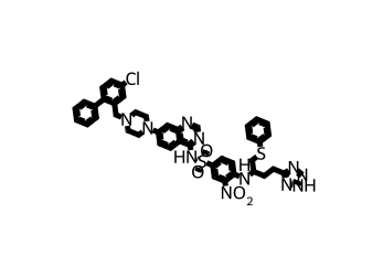 O=[N+]([O-])c1cc(S(=O)(=O)Nc2ncnc3cc(N4CCN(Cc5cc(Cl)ccc5-c5ccccc5)CC4)ccc23)ccc1NC(CCc1nn[nH]n1)CSc1ccccc1